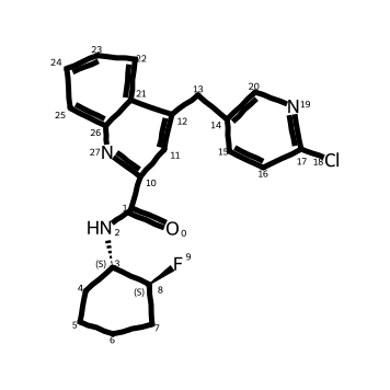 O=C(N[C@H]1CCCC[C@@H]1F)c1cc(Cc2ccc(Cl)nc2)c2ccccc2n1